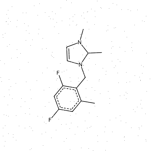 Cc1cc(F)cc(F)c1CN1C=CN(C)C1C